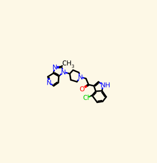 Cc1nc2cnccc2n1C1CCN(CC(=O)c2c[nH]c3cccc(Cl)c23)CC1